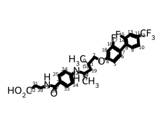 C[C@H](COc1ccc(-c2ccc(C(F)(F)F)cc2F)c(F)c1)C[C@H](C)Nc1ccc(C(=O)NCCC(=O)O)cc1